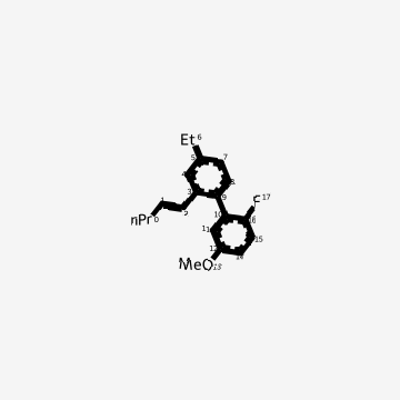 CCC/C=C/c1cc(CC)ccc1-c1cc(OC)ccc1F